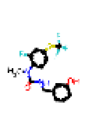 CN(C(=O)NCc1cccc(O)c1)c1ccc(SC(F)(F)F)cc1F